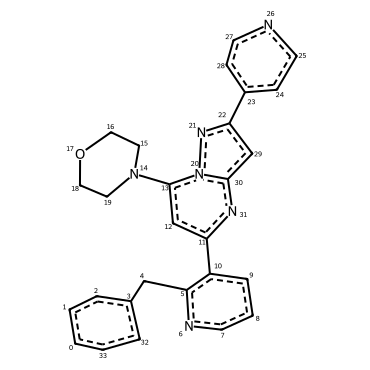 c1ccc(Cc2ncccc2-c2cc(N3CCOCC3)n3nc(-c4ccncc4)cc3n2)cc1